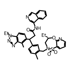 CC[C@@H]1CN(Cc2cc(C(CC(=O)Nc3cncc4ccccc34)c3ccc4c(nnn4CC)c3C)ccc2C)S(=O)(=O)c2cccnc2O1